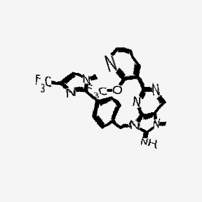 Cn1cc(C(F)(F)F)nc1-c1ccc(Cn2c(=N)n(C)c3cnc(-c4cccnc4OC(F)(F)F)nc32)cc1